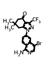 CC1(C)CC(=O)c2c(C(F)(F)F)nn(-c3ccc4c(N)ncc(Br)c4c3)c2C1